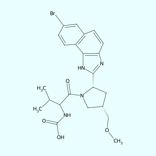 COC[C@H]1C[C@@H](c2nc3ccc4cc(Br)ccc4c3[nH]2)N(C(=O)C(NC(=O)O)C(C)C)C1